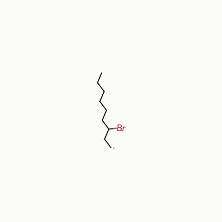 [CH2]CC(Br)CCCCCC